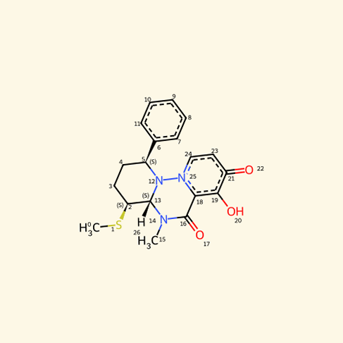 CS[C@H]1CC[C@@H](c2ccccc2)N2[C@@H]1N(C)C(=O)c1c(O)c(=O)ccn12